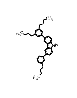 CCCCc1cccc(-c2ccc3[nH]c4ccc(-c5cc(CCCC)cc(CCCC)c5)cc4c3c2)c1